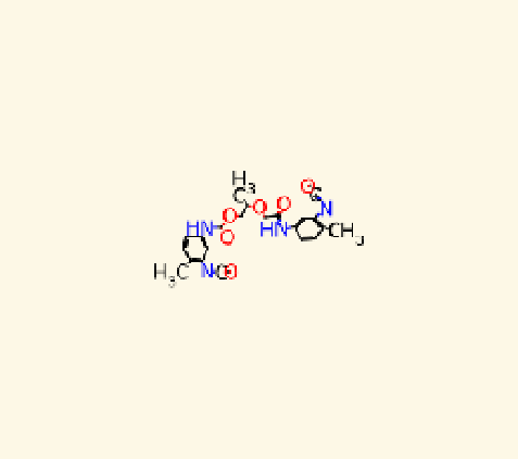 Cc1ccc(NC(=O)COC(C)COC(=O)Nc2ccc(C)c(N=C=O)c2)cc1N=C=O